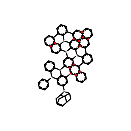 C1=C2CC3CC1CC(C2)N3c1cc2c3c(c1)N(c1ccccc1)c1cc4c(cc1B3c1ccccc1N2c1ccccc1)B1c2ccccc2N(c2c(-c3ccccc3)cccc2-c2ccccc2)c2cc(-c3ccccc3)cc(c21)N4c1c(-c2ccccc2)cccc1-c1ccccc1